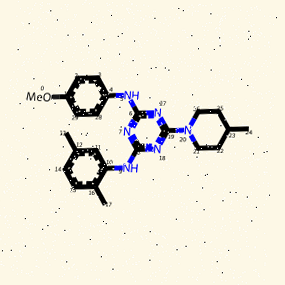 COc1ccc(Nc2nc(Nc3cc(C)ccc3C)nc(N3CCC(C)CC3)n2)cc1